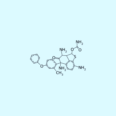 Cc1cc(Oc2ccccc2)ccc1C1(N)C(=O)C(N)C2c3c1ccc(N)c3SC2OC(N)=O